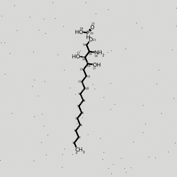 CCCCCCCCCCCCCCC(O)[C@@H](O)C(N)CO[PH](=O)O